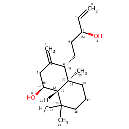 C=C[C@@H](O)CC[C@H]1C(=C)C[C@H](O)[C@H]2C(C)(C)CCC[C@]12C